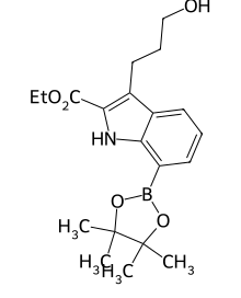 CCOC(=O)c1[nH]c2c(B3OC(C)(C)C(C)(C)O3)cccc2c1CCCO